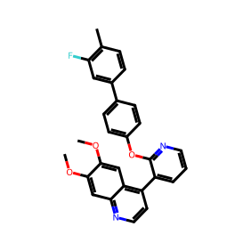 COc1cc2nccc(-c3cccnc3Oc3ccc(-c4ccc(C)c(F)c4)cc3)c2cc1OC